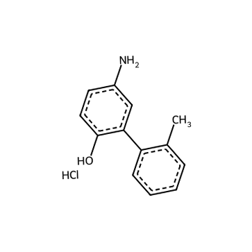 Cc1ccccc1-c1cc(N)ccc1O.Cl